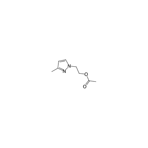 CC(=O)OCCn1ccc(C)n1